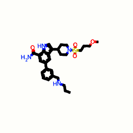 CCCNCc1cccc(-c2cc(C(N)=O)c3[nH]cc(C4CCN(S(=O)(=O)CCCOC)CC4)c3c2)c1